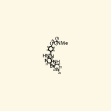 CNC(=O)C(C)(C)Oc1ccc(-c2nc3c(NC4CCN(C)CC4)c(Br)cnc3[nH]2)cc1